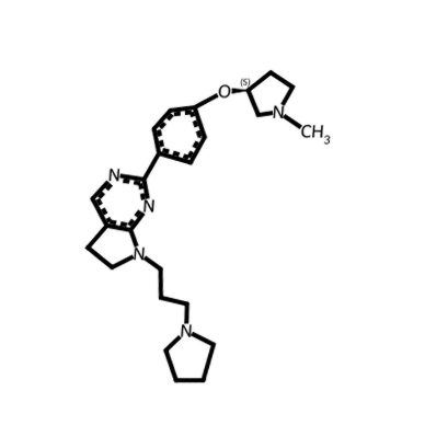 CN1CC[C@H](Oc2ccc(-c3ncc4c(n3)N(CCCN3CCCC3)CC4)cc2)C1